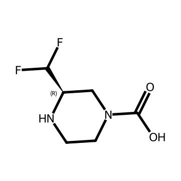 O=C(O)N1CCN[C@@H](C(F)F)C1